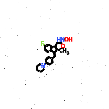 CC1=C(CC(=O)NO)c2cc(F)ccc2/C1=C\c1ccc(N2CCCCC2)cc1